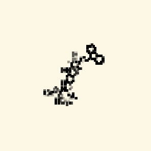 C[C@H](NC(=O)OCC1c2ccccc2-c2ccccc21)C(=O)Nc1ccc(C[C@@H](CC(C)(C)C(=O)O)NC(=O)OC(C)(C)C)cc1F